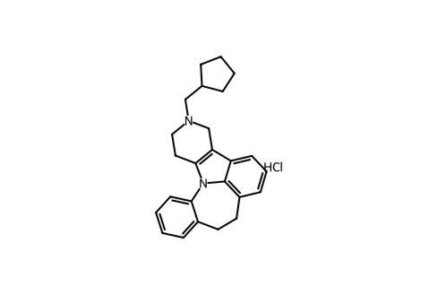 Cl.c1ccc2c(c1)CCc1cccc3c4c(n-2c13)CCN(CC1CCCC1)C4